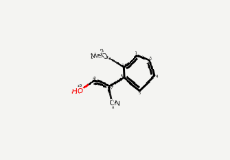 COc1ccccc1C(C#N)=CO